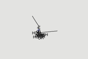 CCCCCCCCCCCCCCCCCCCCCCCC(=O)OC1C(OC2OC(CO)C(O)C(O)C2OSOOO)OC(CO)C(O)C1OC(=O)/C(C)=C/[C@@H](C)C[C@@H](C)C[C@@H](C)CCCCCCCCCCCCCCCC